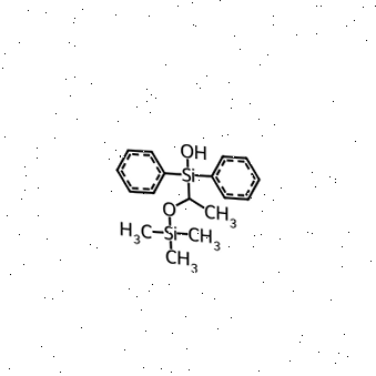 CC(O[Si](C)(C)C)[Si](O)(c1ccccc1)c1ccccc1